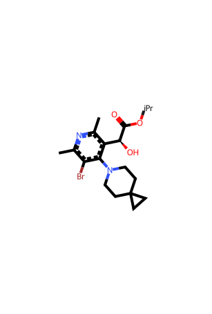 Cc1nc(C)c([C@H](O)C(=O)OC(C)C)c(N2CCC3(CC2)CC3)c1Br